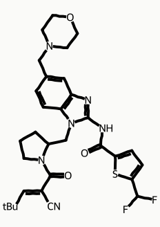 CC(C)(C)C=C(C#N)C(=O)N1CCCC1Cn1c(NC(=O)c2ccc(C(F)F)s2)nc2cc(CN3CCOCC3)ccc21